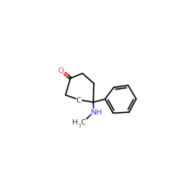 CNC1(c2ccccc2)CCC(=O)CC1